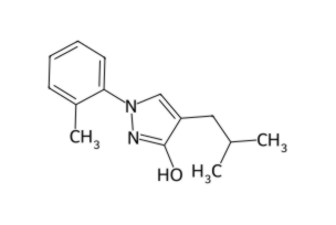 Cc1ccccc1-n1cc(CC(C)C)c(O)n1